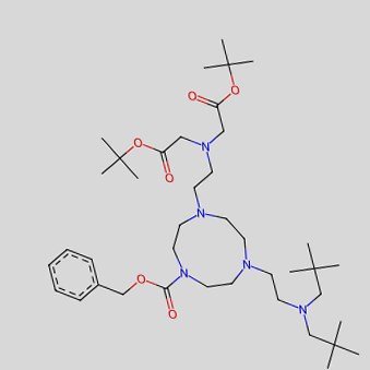 CC(C)(C)CN(CCN1CCN(CCN(CC(=O)OC(C)(C)C)CC(=O)OC(C)(C)C)CCN(C(=O)OCc2ccccc2)CC1)CC(C)(C)C